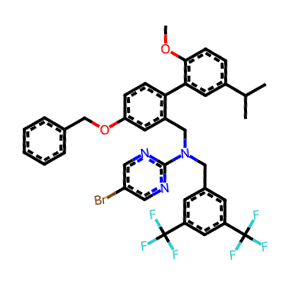 COc1ccc(C(C)C)cc1-c1ccc(OCc2ccccc2)cc1CN(Cc1cc(C(F)(F)F)cc(C(F)(F)F)c1)c1ncc(Br)cn1